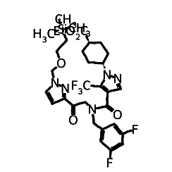 CCOC(=O)[C@H]1CC[C@H](n2ncc(C(=O)N(CC(=O)c3ccn(COCC[Si](C)(C)C)n3)Cc3cc(F)cc(F)c3)c2C(F)(F)F)CC1